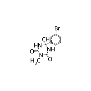 CN1C(=O)NC(C)(c2cccc(Br)c2)NC1=O